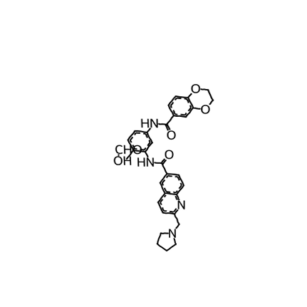 Cc1ccc(NC(=O)c2ccc3c(c2)OCCO3)cc1NC(=O)c1ccc2nc(CN3CCCC3)ccc2c1.O=CO